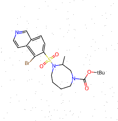 CC1CN(C(=O)OC(C)(C)C)CCCCN1S(=O)(=O)c1ccc2cnccc2c1Br